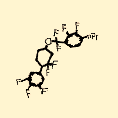 CCCc1ccc(C(F)(F)OC2CCC(c3cc(F)c(F)c(F)c3)C(F)(F)C2)c(F)c1F